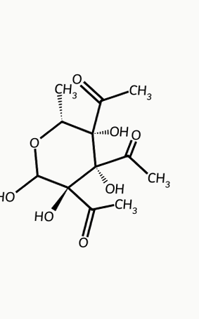 CC(=O)[C@@]1(O)[C@](O)(C(C)=O)C(O)O[C@H](C)[C@@]1(O)C(C)=O